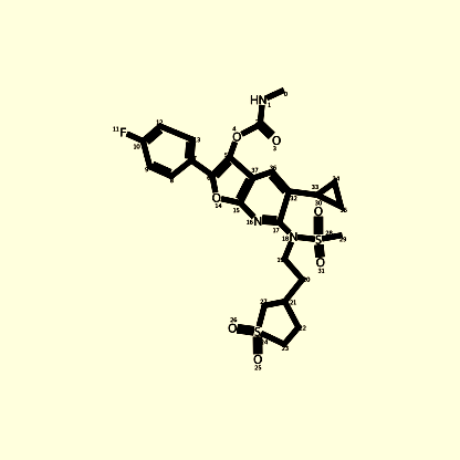 CNC(=O)Oc1c(-c2ccc(F)cc2)oc2nc(N(CCC3CCS(=O)(=O)C3)S(C)(=O)=O)c(C3CC3)cc12